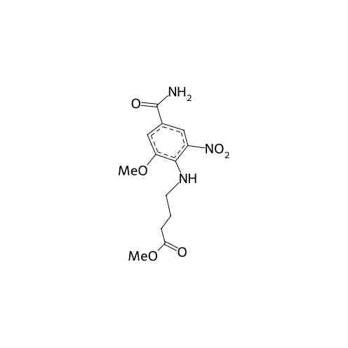 COC(=O)CCCNc1c(OC)cc(C(N)=O)cc1[N+](=O)[O-]